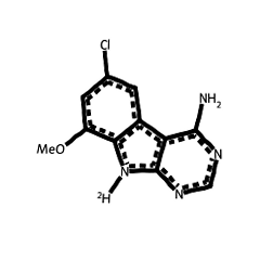 [2H]n1c2ncnc(N)c2c2cc(Cl)cc(OC)c21